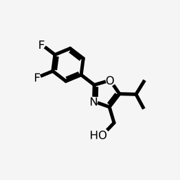 CC(C)c1oc(-c2ccc(F)c(F)c2)nc1CO